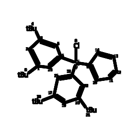 CC(C)(C)c1cc(C(C)(C)C)cc([Si](Cl)(c2ccccc2)c2cc(C(C)(C)C)cc(C(C)(C)C)c2)c1